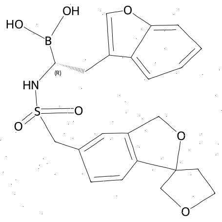 O=S(=O)(Cc1ccc2c(c1)COC21CCOC1)N[C@@H](Cc1coc2ccccc12)B(O)O